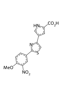 COc1ccc(-c2nc(-c3c[nH]c(C(=O)O)c3)cs2)cc1[N+](=O)[O-]